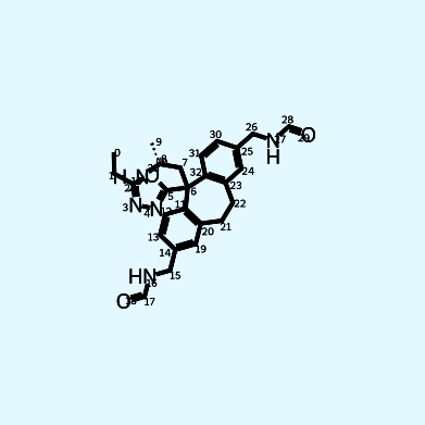 CCc1nnc(C2(C[C@@H](C)N)c3ccc(CNC=O)cc3CCc3cc(CNC=O)ccc32)o1